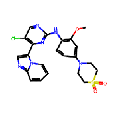 COc1cc(N2CCS(=O)(=O)CC2)ccc1Nc1ncc(Cl)c(-c2cnc3ccccn23)n1